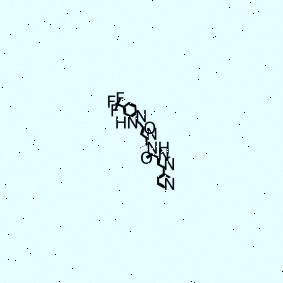 C[C@@H](NC(=O)c1cc(-c2cccnc2)ncn1)c1cc(-c2nc3ccc(C(F)(F)F)cc3[nH]2)on1